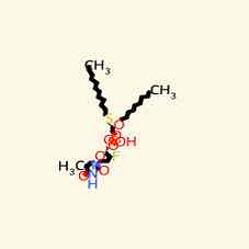 CCCCCCCCCCCCSC[C@@H](COP(=O)(O)OC[C@H]1O[C@@H](n2cc(C)c(=O)[nH]c2=O)C[C@@H]1F)OCCCCCCCCCC